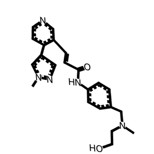 CN(CCO)Cc1ccc(NC(=O)C=Cc2cnccc2-c2cnn(C)c2)cc1